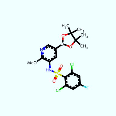 COc1ncc(B2OC(C)(C)C(C)(C)O2)cc1NS(=O)(=O)c1c(Cl)cc(F)cc1Cl